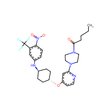 CCCCC(=O)N1CCN(c2cc(O[C@H]3CC[C@H](Nc4ccc([N+](=O)[O-])c(C(F)(F)F)c4)CC3)ccn2)CC1